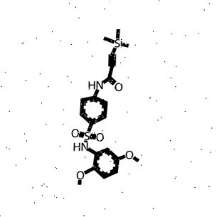 COc1ccc(OC)c(NS(=O)(=O)c2ccc(NC(=O)C#C[Si](C)(C)C)cc2)c1